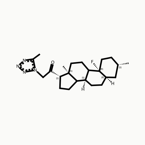 Cc1nnnn1CC(=O)[C@H]1CCC2[C@@H]3CC[C@@H]4C[C@@H](C)CC[C@]4(F)C3CC[C@@]21C